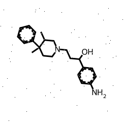 CC1CN(CCC(O)c2ccc(N)cc2)CCC1(C)c1ccccc1